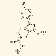 CC(C)c1ccc(-n2nc(CO)c3c2CCN(C(=O)OC(C)(C)C)C3)cc1